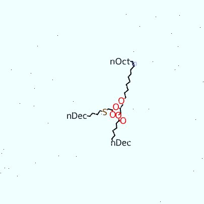 CCCCCCCC/C=C\CCCCCCCCOCC(COC(=O)CCCCCCCCCCCCCCC)OC(=O)CSCCCCCCCCCCCCCC